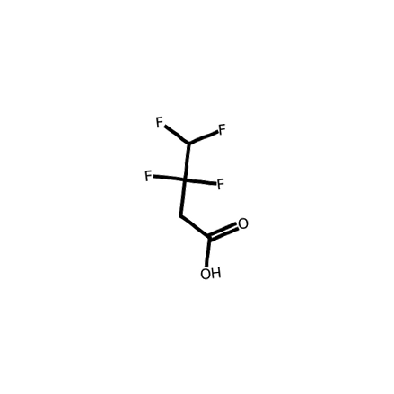 O=C(O)CC(F)(F)C(F)F